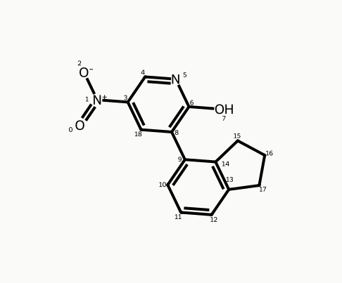 O=[N+]([O-])c1cnc(O)c(-c2cccc3c2CCC3)c1